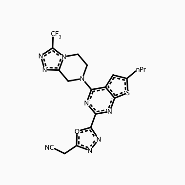 CCCc1cc2c(N3CCn4c(nnc4C(F)(F)F)C3)nc(-c3nnc(CC#N)o3)nc2s1